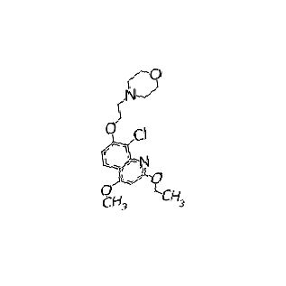 CCOc1cc(OC)c2ccc(OCCN3CCOCC3)c(Cl)c2n1